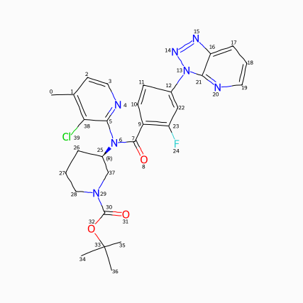 Cc1ccnc(N(C(=O)c2ccc(-n3nnc4cccnc43)cc2F)[C@@H]2CCCN(C(=O)OC(C)(C)C)C2)c1Cl